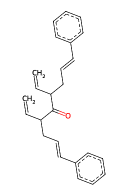 C=CC(CC=Cc1ccccc1)C(=O)C(C=C)CC=Cc1ccccc1